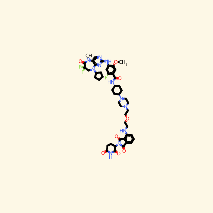 COc1cc(C(=O)N[C@H]2CC[C@H](N3CCN(CCOCCNc4cccc5c4C(=O)N(C4CCC(=O)NC4=O)C5=O)CC3)CC2)c(F)cc1Nc1ncc2c(n1)N(C1CCCC1)CC(F)(F)C(=O)N2C